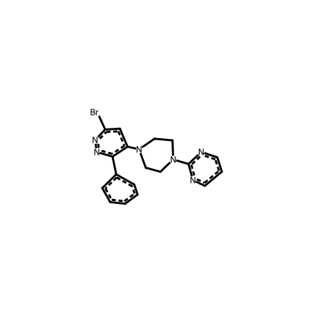 Brc1cc(N2CCN(c3ncccn3)CC2)c(-c2ccccc2)nn1